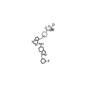 O=C(NS(=O)(=O)C1CC1)C1CCN(Cc2ccn3ncnc(Nc4ccc5c(cnn5Cc5cccc(F)c5)c4)c23)CC1